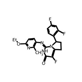 CCOc1ccc(/N=c2\[nH]c(=O)c(F)c3n2C(c2ccc(F)cc2F)CC3)c(C)n1